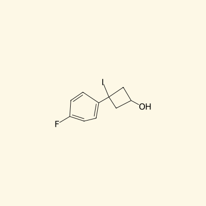 OC1CC(I)(c2ccc(F)cc2)C1